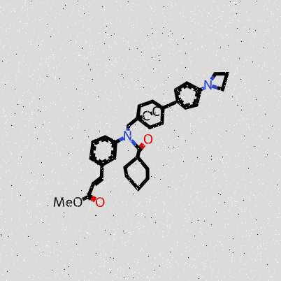 COC(=O)/C=C/c1cccc(N(CC23CCC(c4ccc(N5CCC5)cc4)(CC2)CC3)C(=O)C2CCCCC2)c1